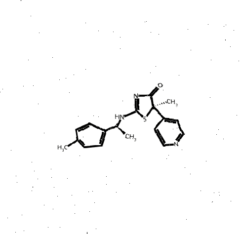 Cc1ccc([C@H](C)NC2=NC(=O)[C@@](C)(c3ccncc3)S2)cc1